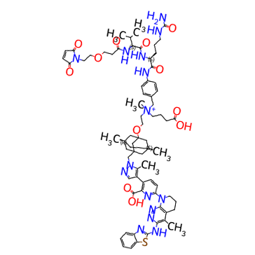 Cc1c(Nc2nc3ccccc3s2)nnc2c1CCCN2c1ccc(-c2cnn(CC34CC5(OCC[N+](C)(CCCC(=O)O)Cc6ccc(NC(=O)[C@H](CCCNC(N)=O)NC(=O)[C@@H](NC(=O)CCOCCN7C(=O)C=CC7=O)C(C)C)cc6)C[C@](C)(C3)C[C@](C)(C4)C5)c2C)c(C(=O)O)n1